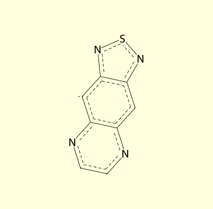 [c]1c2nccnc2cc2nsnc12